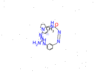 C\C=C/C1=N\N=C(/N)Nc2cccc(c2)CN2CCN(CC2)CC(=O)NCC2CCCN12